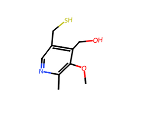 COc1c(C)ncc(CS)c1CO